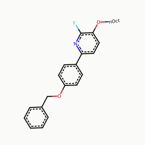 CCCCCCCCOc1ccc(-c2ccc(OCc3ccccc3)cc2)nc1F